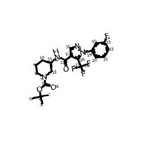 CC(C)(C)OC(=O)N1CCCC(NC(=O)c2cnn(-c3cccc(F)c3)c2C(F)(F)F)C1